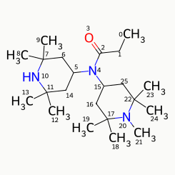 CCC(=O)N(C1CC(C)(C)NC(C)(C)C1)C1CC(C)(C)N(C)C(C)(C)C1